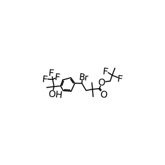 CC(F)(F)COC(=O)C(C)(C)CC(Br)c1ccc(C(C)(O)C(F)(F)F)cc1